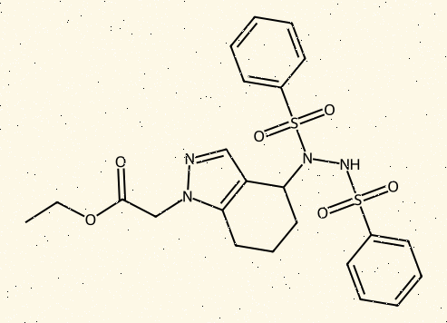 CCOC(=O)Cn1ncc2c1CCCC2N(NS(=O)(=O)c1ccccc1)S(=O)(=O)c1ccccc1